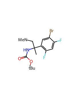 CNCC(C)(NC(=O)OC(C)(C)C)c1cc(Br)c(F)cc1F